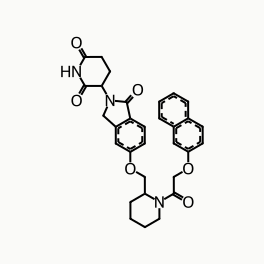 O=C1CCC(N2Cc3cc(OCC4CCCCN4C(=O)COc4ccc5ccccc5c4)ccc3C2=O)C(=O)N1